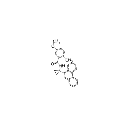 COc1ccc(C)c(C(=O)NC2(c3cc4ccccc4c4ccccc34)CC2)c1